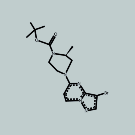 C[C@H]1CN(c2ccn3ncc(Br)c3n2)CCN1C(=O)OC(C)(C)C